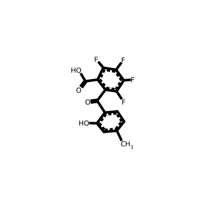 Cc1ccc(C(=O)c2c(F)c(F)c(F)c(F)c2C(=O)O)c(O)c1